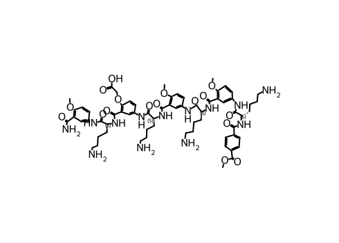 COC(=O)c1ccc(C(=O)N[C@@H](CCCCN)C(=O)Nc2ccc(OC)c(C(=O)N[C@@H](CCCCN)C(=O)Nc3ccc(OC)c(C(=O)N[C@@H](CCCCN)C(=O)Nc4ccc(OCC(=O)O)c(C(=O)N[C@@H](CCCCN)C(=O)Nc5ccc(OC)c(C(N)=O)c5)c4)c3)c2)cc1